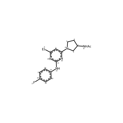 CCc1cc(N2CCC(NC(C)=O)C2)nc(Nc2ccc(F)cc2)n1